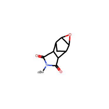 CCCCN1C(=O)C2C3CC(C4OC34)C2C1=O